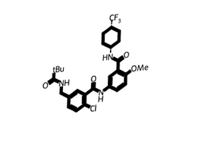 COc1ccc(NC(=O)c2cc(CNC(=O)C(C)(C)C)ccc2Cl)cc1C(=O)N[C@H]1CC[C@@H](C(F)(F)F)CC1